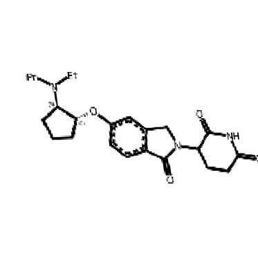 CCN(C(C)C)[C@@H]1CCC[C@H]1Oc1ccc2c(c1)CN(C1CCC(=O)NC1=O)C2=O